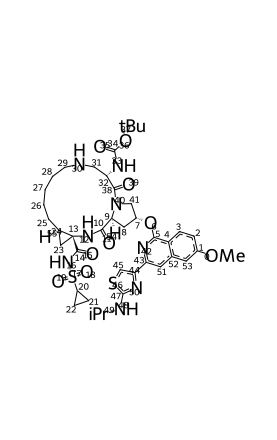 COc1ccc2c(O[C@@H]3C[C@H]4C(=O)N[C@]5(C(=O)NS(=O)(=O)C6CC6)C[C@H]5CCCCCNC[C@H](NC(=O)OC(C)(C)C)C(=O)N4C3)nc(-c3csc(NC(C)C)n3)cc2c1